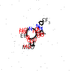 CC[C@H]1OC(=O)[C@H](C)[C@@H](O[C@H]2C[C@@](C)(OC)[C@@H](O)[C@H](C)O2)[C@H](C)[C@@H](O[C@@H]2O[C@H](C)C[C@H](N(C)C(=O)N(C)c3ccc(C(F)(F)F)cc3)[C@H]2O)[C@](C)(O)C[C@@H](C)CN(C)[C@H](C)[C@@H](O)[C@]1(C)O